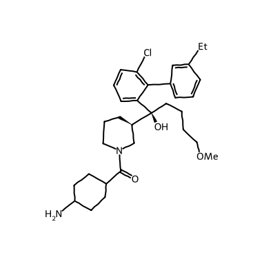 CCc1cccc(-c2c(Cl)cccc2[C@](O)(CCCCOC)[C@@H]2CCCN(C(=O)C3CCC(N)CC3)C2)c1